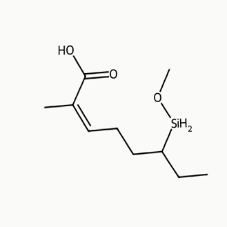 CCC(CCC=C(C)C(=O)O)[SiH2]OC